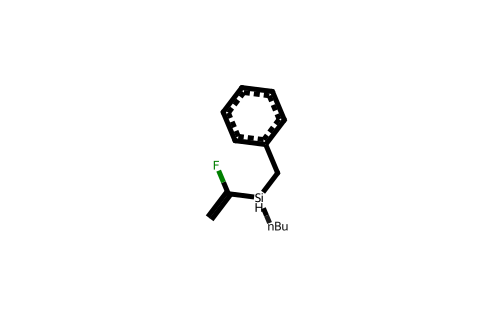 C=C(F)[SiH](CCCC)Cc1ccccc1